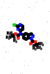 CC(C)(C)OC(=O)N(c1ccc2c(cnn2C(=O)OC(C)(C)C)c1)c1ccnc(Cl)n1